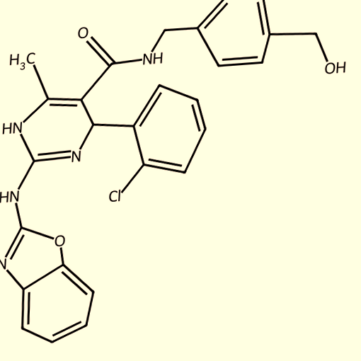 CC1=C(C(=O)NCc2ccc(CO)cc2)C(c2ccccc2Cl)N=C(Nc2nc3ccccc3o2)N1